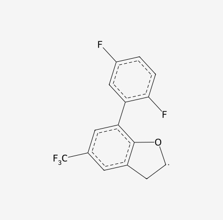 Fc1ccc(F)c(-c2cc(C(F)(F)F)cc3c2O[CH]C3)c1